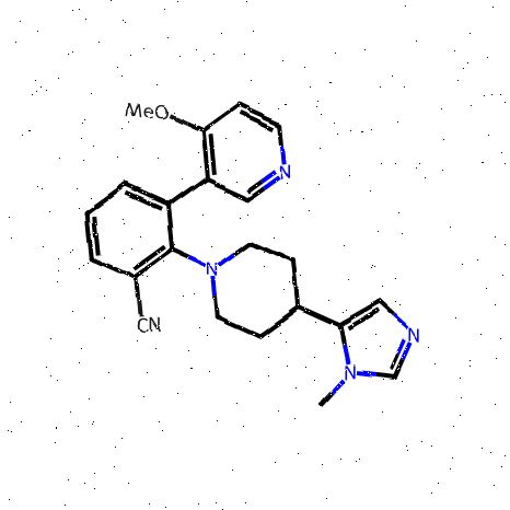 COc1ccncc1-c1cccc(C#N)c1N1CCC(c2cncn2C)CC1